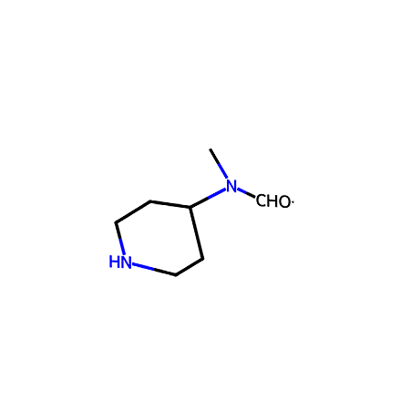 CN([C]=O)C1CCNCC1